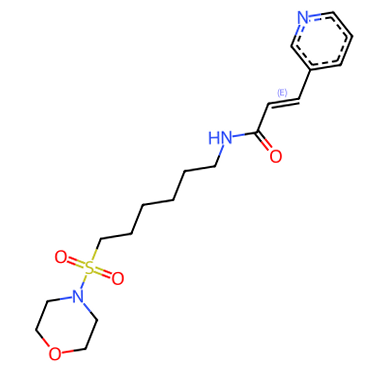 O=C(/C=C/c1cccnc1)NCCCCCCS(=O)(=O)N1CCOCC1